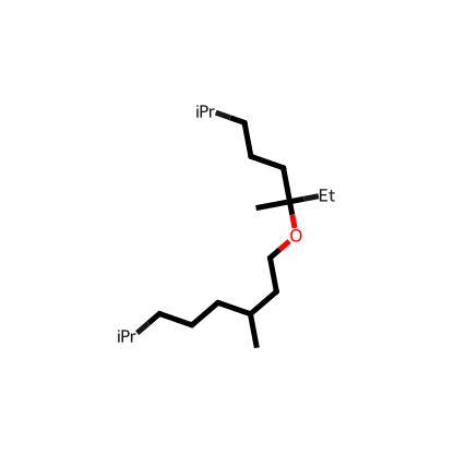 CCC(C)(CCCC(C)C)OCCC(C)CCCC(C)C